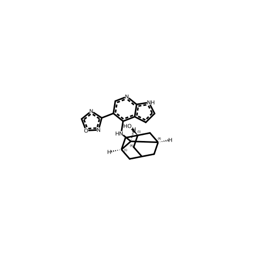 O[C@]12CC3C[C@H](C1)[C@H](Nc1c(-c4ncon4)cnc4[nH]ccc14)[C@@H](C3)C2